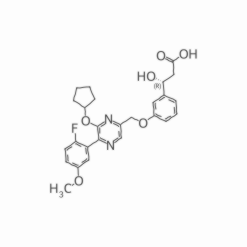 COc1ccc(F)c(-c2ncc(COc3cccc([C@H](O)CC(=O)O)c3)nc2OC2CCCC2)c1